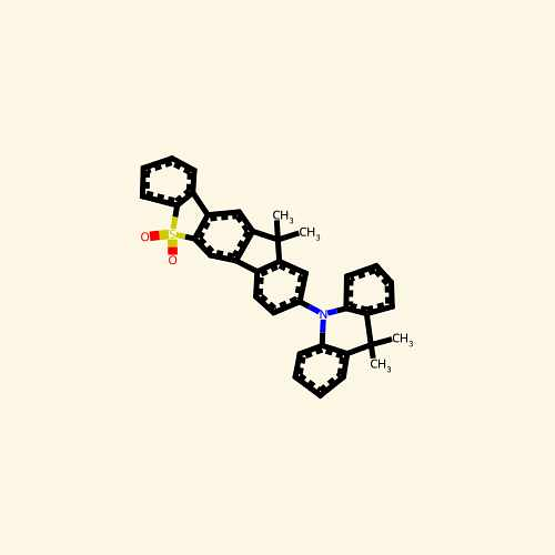 CC1(C)c2cc(N3c4ccccc4C(C)(C)c4ccccc43)ccc2-c2cc3c(cc21)-c1ccccc1S3(=O)=O